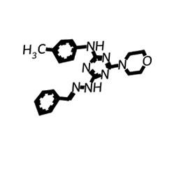 Cc1ccc(Nc2nc(N/N=C/c3ccccc3)nc(N3CCOCC3)n2)cc1